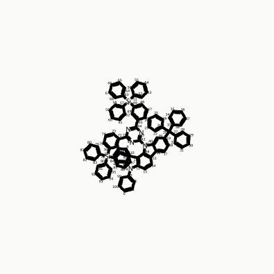 c1ccc(-n2c3ccccc3c3c2ccc2c4ccc(C(c5ccccc5)(c5ccccc5)c5ccccc5)cc4n(-c4nc(-c5cccc([Si](c6ccccc6)(c6ccccc6)c6ccccc6)c5)nc(-c5cccc([Si](c6ccccc6)(c6ccccc6)c6ccccc6)c5)n4)c23)cc1